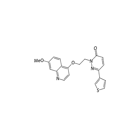 COc1ccc2c(OCCn3nc(-c4ccsc4)ccc3=O)ccnc2c1